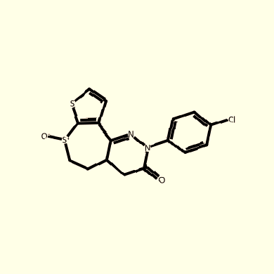 O=C1CC2CC[S+]([O-])c3sccc3C2=NN1c1ccc(Cl)cc1